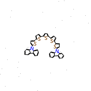 c1ccc2c(c1)c1ccccc1n2-c1ccc(-c2ccc(-c3ccc(-c4ccc(-c5ccc(-n6c7ccccc7c7ccccc76)s5)s4)s3)s2)s1